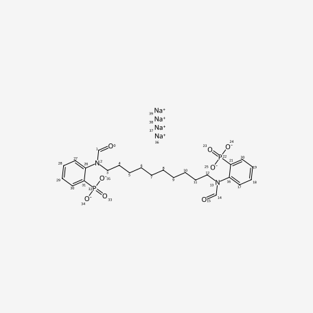 O=CN(CCCCCCCCCCN(C=O)c1ccccc1P(=O)([O-])[O-])c1ccccc1P(=O)([O-])[O-].[Na+].[Na+].[Na+].[Na+]